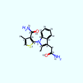 Cc1csc(-n2c(C)c(CC(N)=O)c3ccccc32)c1C(N)=O